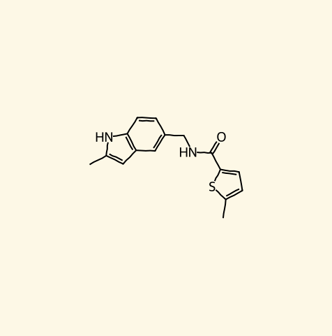 Cc1cc2cc(CNC(=O)c3ccc(C)s3)ccc2[nH]1